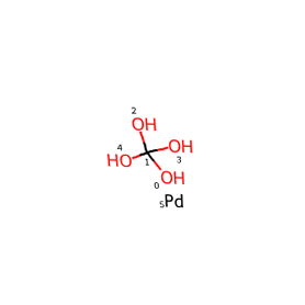 OC(O)(O)O.[Pd]